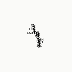 COc1cc2c(Oc3ccc(N(S)C(=O)NC(=O)Cc4ccccc4F)cc3F)ccnc2cc1OCC(O)CN1CCCCC1